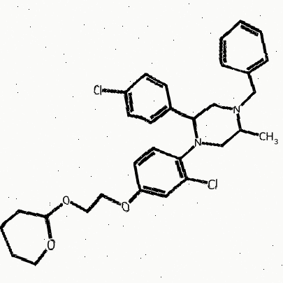 CC1CN(c2ccc(OCCOC3CCCCO3)cc2Cl)C(c2ccc(Cl)cc2)CN1Cc1ccccc1